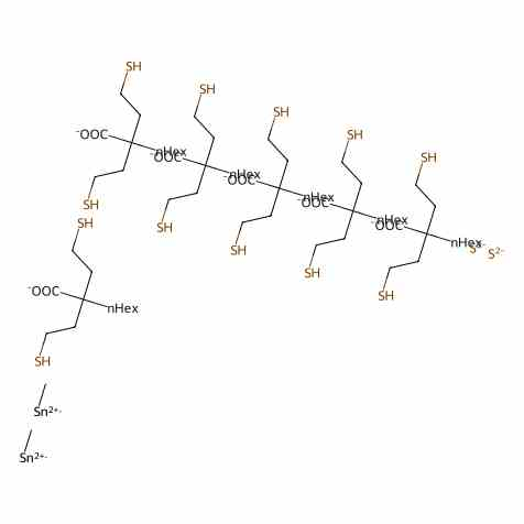 CCCCCCC(CCS)(CCS)C(=O)[O-].CCCCCCC(CCS)(CCS)C(=O)[O-].CCCCCCC(CCS)(CCS)C(=O)[O-].CCCCCCC(CCS)(CCS)C(=O)[O-].CCCCCCC(CCS)(CCS)C(=O)[O-].CCCCCCC(CCS)(CCS)C(=O)[O-].[CH3][Sn+2].[CH3][Sn+2].[S-2].[S-2]